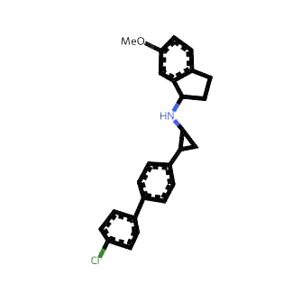 COc1ccc2c(c1)C(NC1CC1c1ccc(-c3ccc(Cl)cc3)cc1)CC2